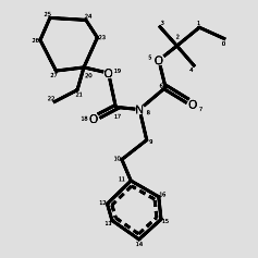 CCC(C)(C)OC(=O)N(CCc1ccccc1)C(=O)OC1(CC)CCCCC1